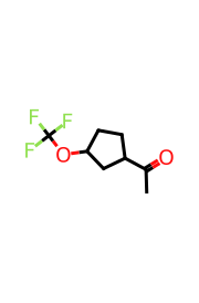 CC(=O)C1CCC(OC(F)(F)F)C1